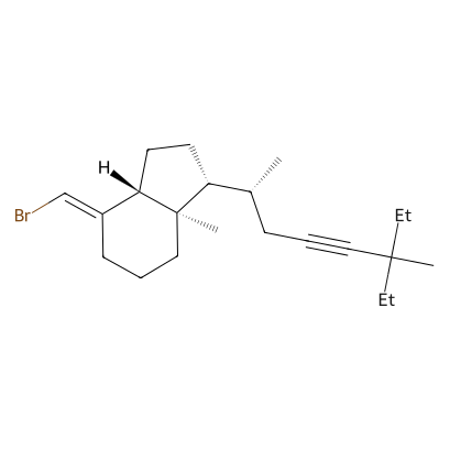 CCC(C)(C#CC[C@@H](C)[C@H]1CC[C@H]2/C(=C/Br)CCC[C@]12C)CC